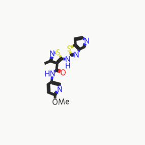 COc1ccc(NC(=O)c2c(C)nsc2Nc2nc3cnccc3s2)cn1